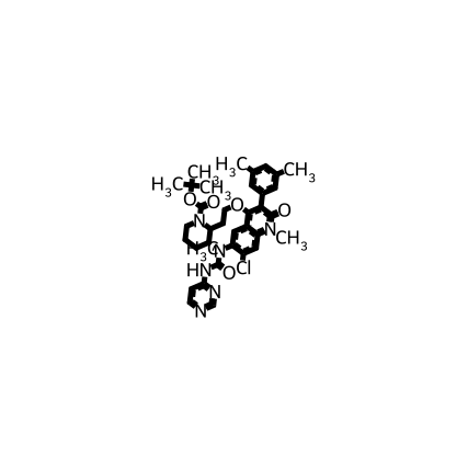 Cc1cc(C)cc(-c2c(OCCC3CCCCN3C(=O)OC(C)(C)C)c3cc(N(C)C(=O)Nc4ccncn4)c(Cl)cc3n(C)c2=O)c1